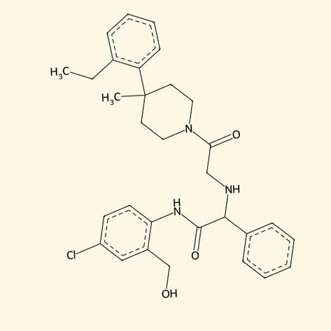 CCc1ccccc1C1(C)CCN(C(=O)CNC(C(=O)Nc2ccc(Cl)cc2CO)c2ccccc2)CC1